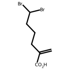 C=C(CCCC(Br)Br)C(=O)O